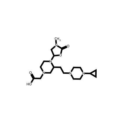 CN1CC(N2CCN(CC(=O)O)CC2CCN2CCN(C3CC3)CC2)OC1=O